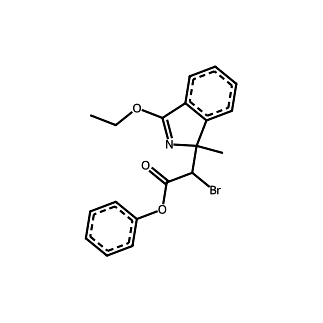 CCOC1=NC(C)(C(Br)C(=O)Oc2ccccc2)c2ccccc21